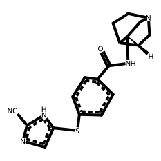 N#Cc1ncc(Sc2ccc(C(=O)N[C@H]3CN4CCC3CC4)cc2)[nH]1